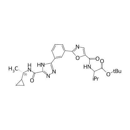 CC(C)C(NC(=O)c1cnc(-c2cccc(-c3nnc(C(=O)N[C@@H](C)C4CC4)[nH]3)c2)o1)C(=O)OC(C)(C)C